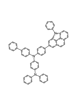 c1ccc(-c2ccc(N(c3ccc(-c4cc5ccc6cccc7c6c5c(c4)n7-c4ccccc4)cc3)c3ccc(N(c4ccccc4)c4ccccc4)cc3)cc2)cc1